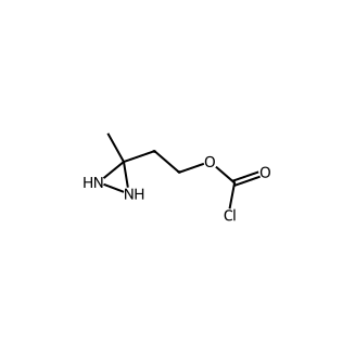 CC1(CCOC(=O)Cl)NN1